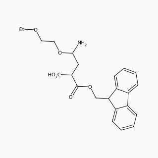 CCOCCOC(N)CC(C(=O)O)C(=O)OCC1c2ccccc2-c2ccccc21